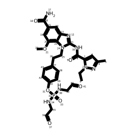 CCn1nc(C)cc1C(=O)Nc1nc2cc(C(N)=O)cc(OC)c2n1CCc1ccc(OP(=O)(NCC=O)NCC=O)cc1